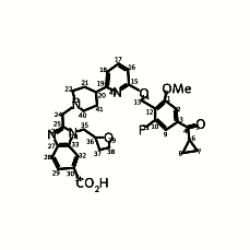 COc1cc(C(=O)C2CC2)cc(F)c1COc1cccc(C2CCN(Cc3nc4ccc(C(=O)O)cc4n3CC3CCO3)CC2)n1